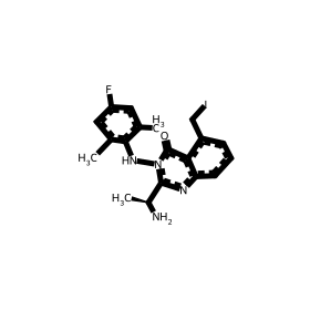 Cc1cc(F)cc(C)c1Nn1c([C@H](C)N)nc2cccc(CI)c2c1=O